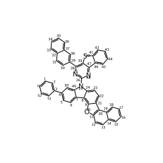 c1ccc(-c2ccc3c4c5oc6ccc7ccccc7c6c5ccc4n(-c4nc(-c5ccc6ccccc6c5)c5sc6ccccc6c5n4)c3c2)cc1